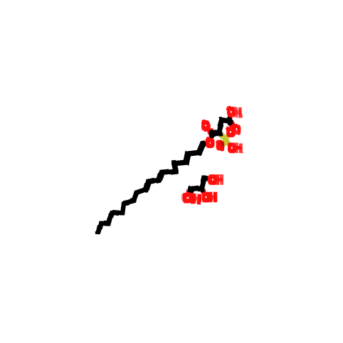 CCCCCCCCCCCCCCCCCCOC(=O)C(CC(=O)O)S(=O)(=O)O.OCC(O)CO